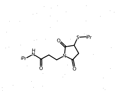 CC(C)NC(=O)CCN1C(=O)CC(SC(C)C)C1=O